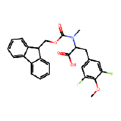 COc1c(F)cc(CC(C(=O)O)N(C)C(=O)OCC2c3ccccc3-c3ccccc32)cc1F